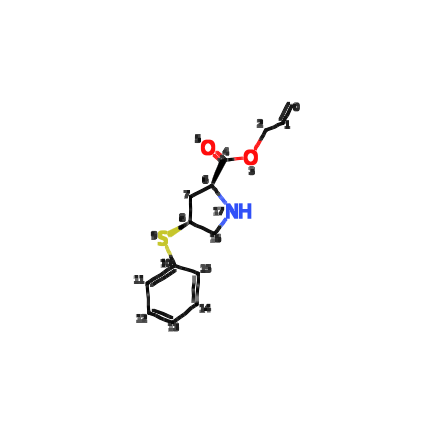 C=CCOC(=O)[C@@H]1C[C@H](Sc2ccccc2)CN1